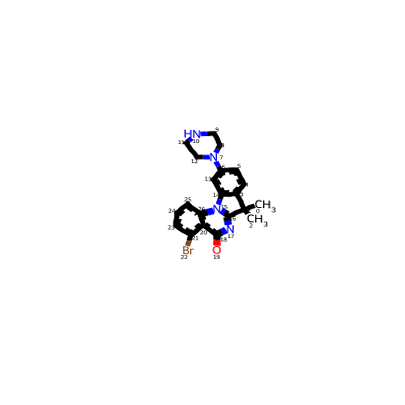 CC1(C)c2ccc(N3CCNCC3)cc2-n2c1nc(=O)c1c(Br)cccc12